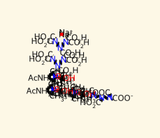 CC(=O)NC1CC(C)(C)N(OCC(C)(C)O)C(C)(C)C1.CC(=O)NC1CC(C)(C)N(OCC(C)(C)O)C(C)(C)C1.CC(=O)NC1CC(C)(C)N(OCC(C)(C)O)C(C)(C)C1.O=C(O)CN(CCN(CC(=O)O)CC(=O)O)CCN(CC(=O)O)CC(=O)O.O=C(O)CN(CCN(CC(=O)O)CC(=O)O)CCN(CC(=O)O)CC(=O)O.O=C([O-])CN(CCN(CCN(CC(=O)O)CC(=O)O)CC(=O)O)CC(=O)[O-].[Na+].[Na+]